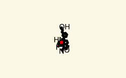 CC1C(=O)C(C#N)=CC2(c3cccc(F)c3)c3n[nH]c(-c4cccc(CCCO)c4)c3CCC12